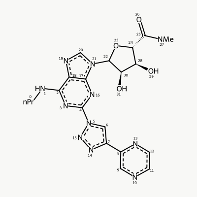 CCCNc1nc(-n2cc(-c3cnccn3)nn2)nc2c1ncn2C1O[C@H](C(=O)NC)[C@@H](O)[C@H]1O